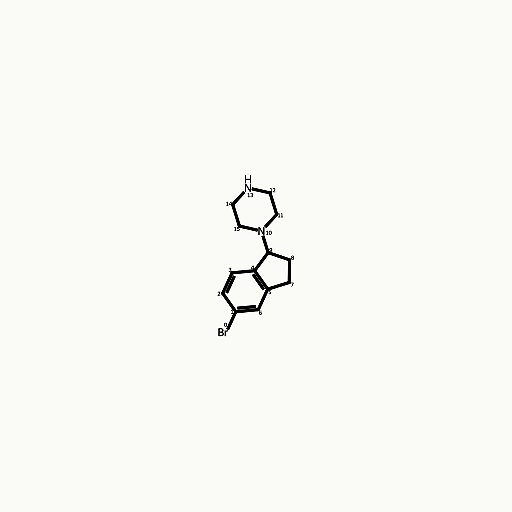 Brc1ccc2c(c1)CCC2N1CCNCC1